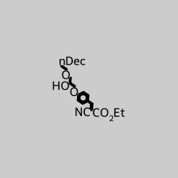 CCCCCCCCCCCCOCC(O)COc1ccc(/C=C(\C#N)C(=O)OCC)cc1